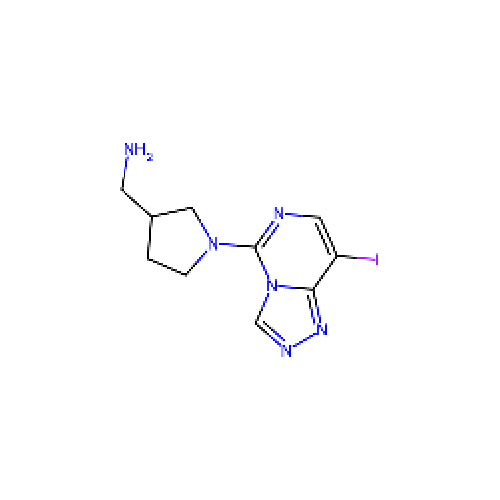 NCC1CCN(c2ncc(I)c3nncn23)C1